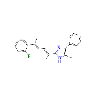 C/C(=C\C=C(/C)c1ccccc1F)c1nc(-c2ccccc2)c(C)[nH]1